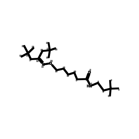 CC(C)(C)CCNC(=O)CCCCCON=C(CC(C)(C)C)CC(C)(C)C